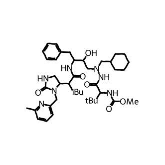 CCC(C)C(C(=O)NC(Cc1ccccc1)C(O)CN(CC1CCCCC1)NC(=O)C(NC(=O)OC)C(C)(C)C)C1CNC(=O)N1Cc1cccc(C)n1